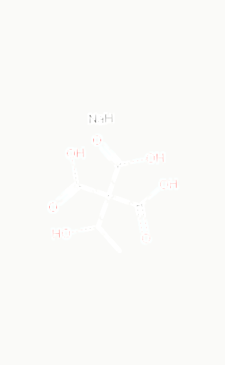 CC(O)C(C(=O)O)(C(=O)O)C(=O)O.[NaH]